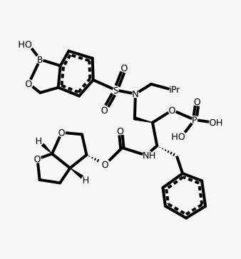 CC(C)CN(C[C@@H](OP(=O)(O)O)[C@H](Cc1ccccc1)NC(=O)O[C@H]1CO[C@H]2OCC[C@H]21)S(=O)(=O)c1ccc2c(c1)COB2O